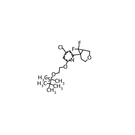 CC(C)(C)[Si](C)(C)OCCOc1cc(Cl)cc(C23CCOCC2C3(F)F)n1